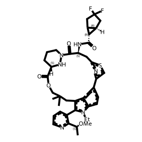 CCn1c(-c2cccnc2[C@H](C)OC)c2c3cc(ccc31)-c1csc(n1)C[C@H](NC(=O)[C@@H]1C3CC(F)(F)C[C@H]31)C(=O)N1CCC[C@H](N1)C(=O)OCC(C)(C)C2